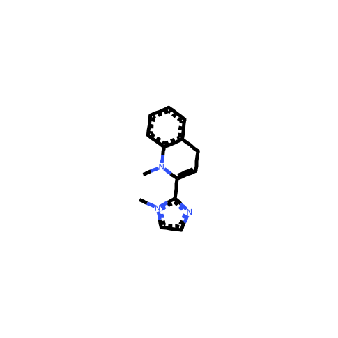 CN1C(c2nccn2C)=CCc2ccccc21